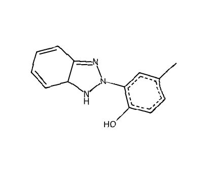 Cc1ccc(O)c(N2N=C3C=CC=CC3N2)c1